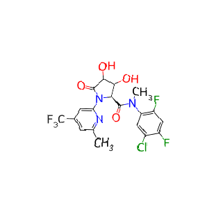 Cc1cc(C(F)(F)F)cc(N2C(=O)C(O)C(O)[C@H]2C(=O)N(C)c2cc(Cl)c(F)cc2F)n1